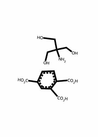 NC(CO)(CO)CO.O=C(O)c1ccc(C(=O)O)c(C(=O)O)c1